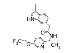 C[C@@H](NC(=O)Cc1ccc2c(I)c[nH]c2c1)c1ccc(OCC(F)(F)F)cn1